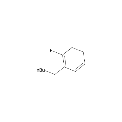 CCCCCC1=C(F)CCC=C1